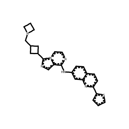 c1csc(-c2ccc3ccc(Nc4nccn5c(C6CC(CN7CCC7)C6)ncc45)cc3n2)c1